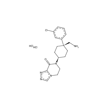 Cl.Cl.NC[C@]1(c2cccc(Cl)c2)CC[C@H](N2CCn3cnnc3C2=O)CC1